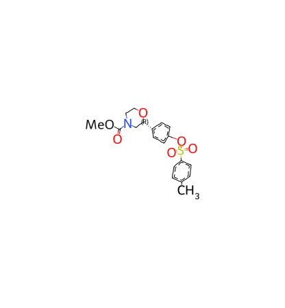 COC(=O)N1CCO[C@H](c2ccc(OS(=O)(=O)c3ccc(C)cc3)cc2)C1